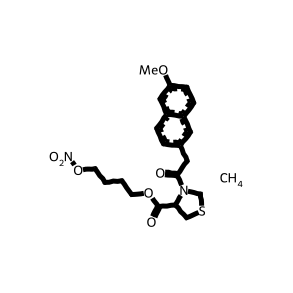 C.COc1ccc2cc(CC(=O)N3CSCC3C(=O)OCCCCO[N+](=O)[O-])ccc2c1